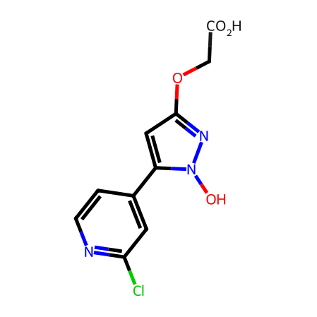 O=C(O)COc1cc(-c2ccnc(Cl)c2)n(O)n1